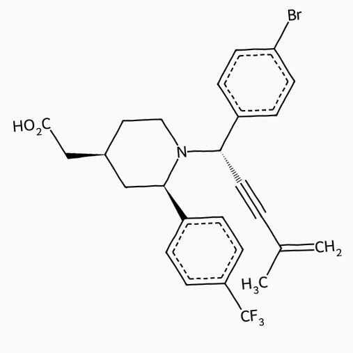 C=C(C)C#C[C@@H](c1ccc(Br)cc1)N1CC[C@H](CC(=O)O)C[C@@H]1c1ccc(C(F)(F)F)cc1